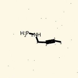 CC#CCNP